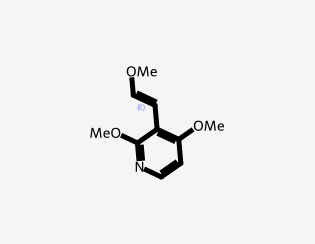 CO/C=C/c1c(OC)ccnc1OC